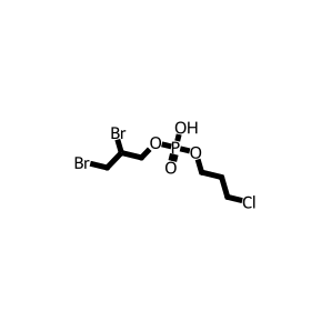 O=P(O)(OCCCCl)OCC(Br)CBr